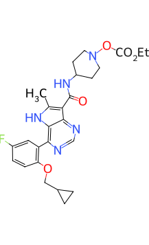 CCOC(=O)ON1CCC(NC(=O)c2c(C)[nH]c3c(-c4cc(F)ccc4OCC4CC4)ncnc23)CC1